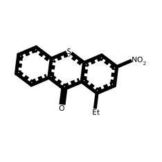 CCc1cc([N+](=O)[O-])cc2sc3ccccc3c(=O)c12